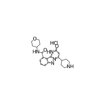 Cl.O=C(NC1CCOCC1)c1cccc2nn3c(C4CCNCC4)cc(=O)[nH]c3c12